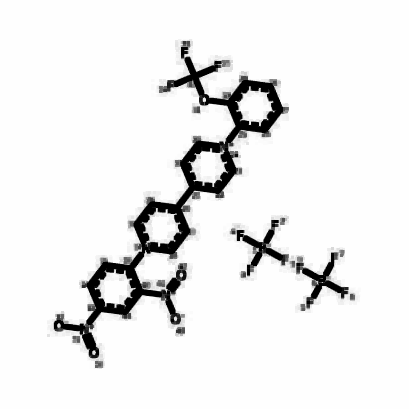 F[B-](F)(F)F.F[B-](F)(F)F.O=[N+]([O-])c1ccc(-[n+]2ccc(-c3cc[n+](-c4ccccc4OC(F)(F)F)cc3)cc2)c([N+](=O)[O-])c1